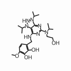 COc1ccc(CNc2nc(N(CCO)C(C)C)nc3c2N(C(C)C)NN3C(C)C)c(O)c1O